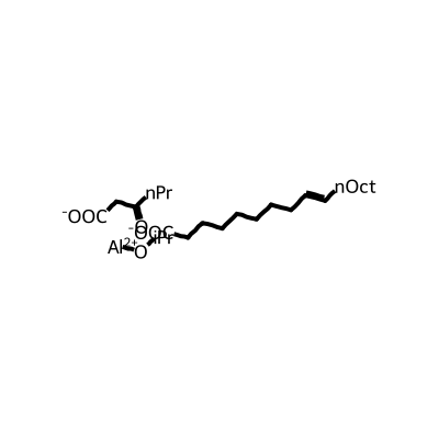 CC(C)[O][Al+2].CCCC(=O)CC(=O)[O-].CCCCCCCCC=CCCCCCCCC(=O)[O-]